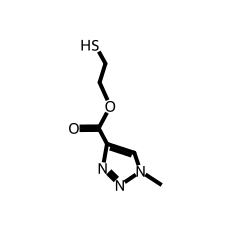 Cn1cc(C(=O)OCCS)nn1